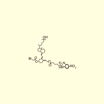 CC(CCCC(C)(C)O)C1CCC2C(=CC=C3CC(OC(=O)CBr)CCC3=CCOC(=O)CCCCCNc3ccc([N+](=O)[O-])cc3[N+](=O)[O-])CCCC21C